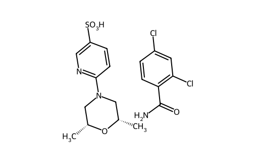 C[C@@H]1CN(c2ccc(S(=O)(=O)O)cn2)C[C@H](C)O1.NC(=O)c1ccc(Cl)cc1Cl